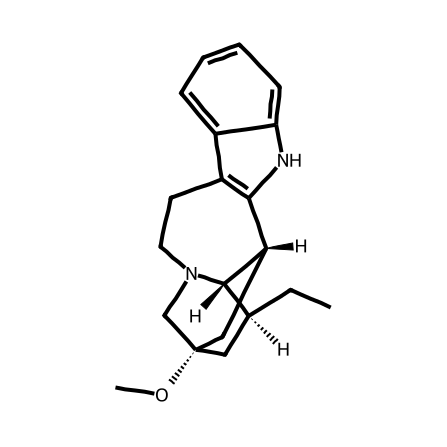 CC[C@H]1C[C@]2(OC)C[C@H]3c4[nH]c5ccccc5c4CCN(C2)[C@@H]13